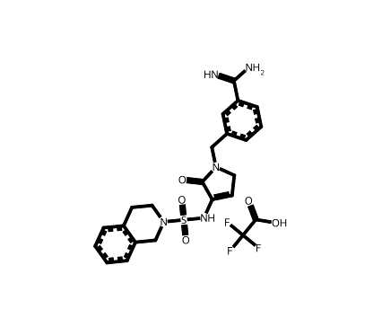 N=C(N)c1cccc(CN2CC=C(NS(=O)(=O)N3CCc4ccccc4C3)C2=O)c1.O=C(O)C(F)(F)F